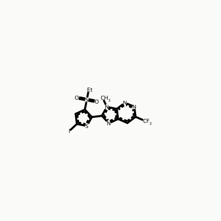 CCS(=O)(=O)c1cc(I)sc1-c1nc2cc(C(F)(F)F)nnc2n1C